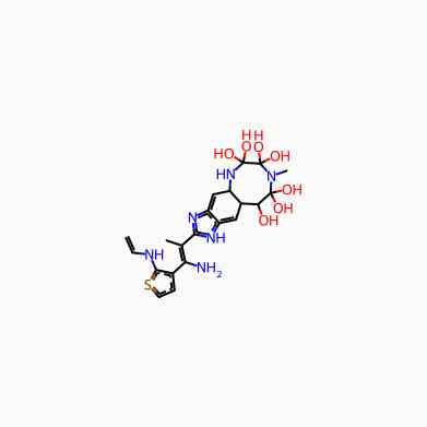 C=CNc1sccc1/C(N)=C(\C)c1nc2c([nH]1)=CC1C(C=2)NC(O)(O)C(O)(O)N(C)C(O)(O)C1O